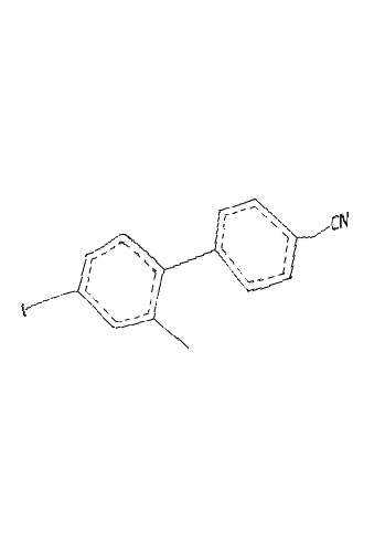 Cc1cc(I)ccc1-c1ccc(C#N)cc1